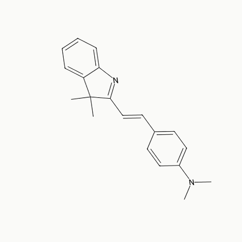 CN(C)c1ccc(C=CC2=Nc3ccccc3C2(C)C)cc1